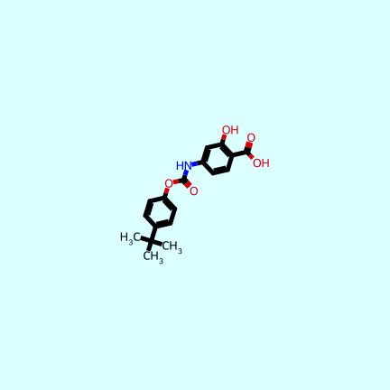 CC(C)(C)c1ccc(OC(=O)Nc2ccc(C(=O)O)c(O)c2)cc1